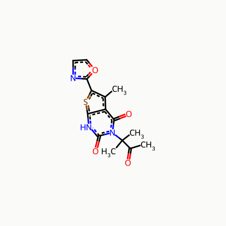 CC(=O)C(C)(C)n1c(=O)[nH]c2sc(-c3ncco3)c(C)c2c1=O